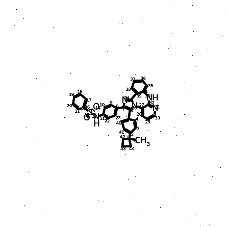 CC1(c2ccc(-c3c(-c4ccc(NS(=O)(=O)c5ccccc5)cc4)nc4n3-c3cccnc3Nc3ccccc3-4)cc2)CCC1